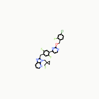 FCC1(Cn2c(Cc3cc(F)c(-c4ccnc(OCc5ccc(Cl)cc5F)n4)cc3F)nc3cccnc32)CC1